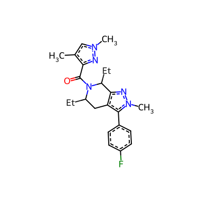 CCC1Cc2c(nn(C)c2-c2ccc(F)cc2)C(CC)N1C(=O)c1nn(C)cc1C